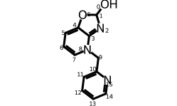 OC1N=C2C(=CC=CN2Cc2ccccn2)O1